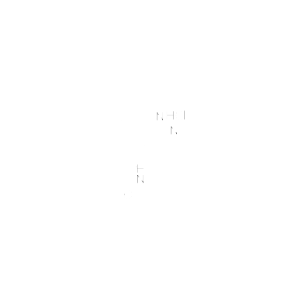 CN1CC2(Cc3ccccc3)C[NH+]([O-])CCC2=N1.Cl